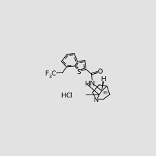 CC1(C)[C@H](NC(=O)c2cc3cccc(CC(F)(F)F)c3s2)C2CCN1CC2.Cl